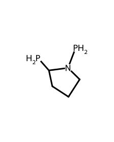 PC1CCCN1P